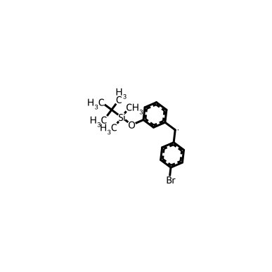 CC(C)(C)[Si](C)(C)Oc1cccc([CH]c2ccc(Br)cc2)c1